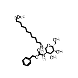 CCCCCCCCCCCCCCCCCCCCN[C@@H]1O[C@H](CO)[C@@H](O)[C@H](O)[C@@H]1NC(=O)OCc1ccccc1